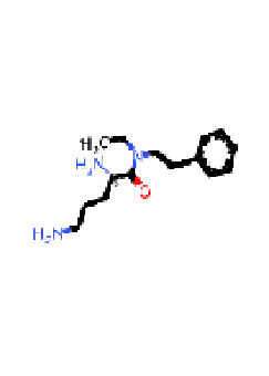 [CH2]CN(CCc1ccccc1)C(=O)[C@@H](N)CCCN